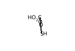 O=C(O)CCCOCCOCCCCCCCS